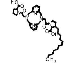 CCCCCC/C=C\CCCCC1CCN(C(=O)CN2Cc3cccc(n3)CN(CC(=O)N3CCCC3C(=O)O)Cc3cccc(n3)C2)C1C(=O)O